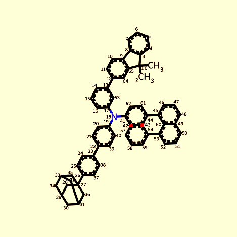 CC1(C)c2ccccc2-c2ccc(-c3cccc(N(c4ccc(-c5ccc(C67CC8CC(CC(C8)C6)C7)cc5)cc4)c4ccc(-c5cccc6cccc(-c7ccccc7)c56)cc4)c3)cc21